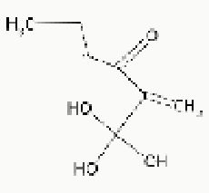 C=C(C(=O)[CH]CC)C(O)(O)O